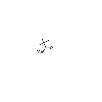 [CH2]C(C)(C)C(N)=O